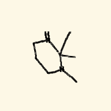 CN1CCCNC1(C)C